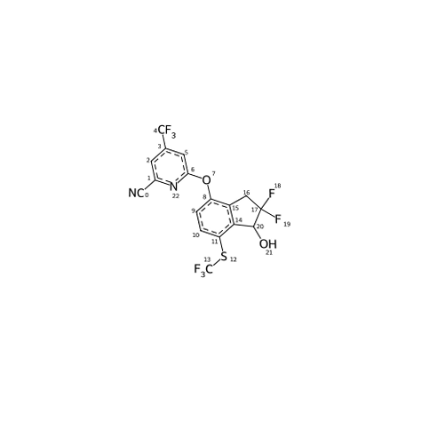 N#Cc1cc(C(F)(F)F)cc(Oc2ccc(SC(F)(F)F)c3c2CC(F)(F)C3O)n1